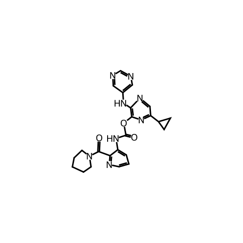 O=C(Nc1cccnc1C(=O)N1CCCCC1)Oc1nc(C2CC2)cnc1Nc1cncnc1